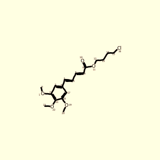 COc1cc(/C=C/C=C/C(=O)OCCCCCl)cc(OC)c1OC